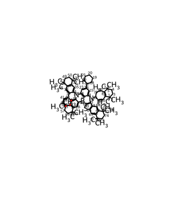 CC1(C)CCC(C)(C)C2=C1C=CC(N1c3cc(C4CCCCC4)cc4c3B(c3cc5c(cc3N4c3cc4c(cc3C3=CC=CCC3)C(C)(C)CCC4(C)C)C(C)(C)CCC5(C)C)c3sc4cc5c(cc4c31)C(C)(C)CCC5(C)C)CC2